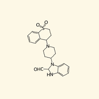 O=CC1Nc2ccccc2N1C1CCN(C2CCS(=O)(=O)c3ccccc32)CC1